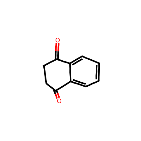 O=C1[CH]CC(=O)c2ccccc21